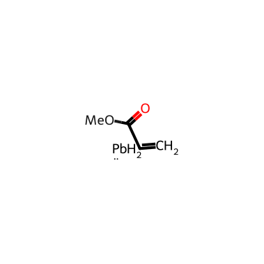 C=CC(=O)OC.[PbH2]